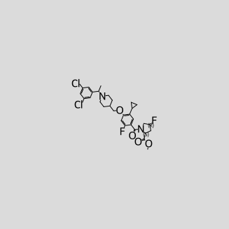 COC(=O)[C@@H]1C[C@@H](F)CN1C(=O)c1cc(C2CC2)c(OCC2CCN(C(C)c3cc(Cl)cc(Cl)c3)CC2)cc1F